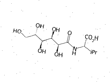 CC(C)C(NC(=O)[C@@H](O)[C@H](O)[C@@H](O)[C@@H](O)CO)C(=O)O